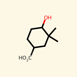 CC1(C)CC(C(=O)O)CCC1O